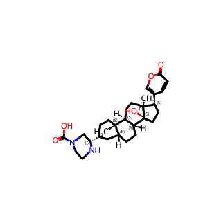 C[C@]12CCC([C@H]3CN(C(=O)O)CCN3)C[C@H]1CC[C@@H]1[C@@H]2CC[C@]2(C)[C@@H](c3ccc(=O)oc3)CC[C@]12O